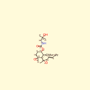 CO[C@H]1C(C2(C)O[C@@H]2/C=C/C(C)C)[C@]2(CC[C@H]1OC(=O)NCC(C)(C)O)CO2